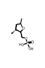 CC1C[C@H](C)C(COP(=O)(O)O)O1